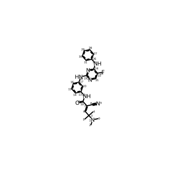 CN(C)C(C)(C)/C=C(\C#N)C(=O)Nc1cccc(Nc2ncc(F)c(Nc3ccccc3)n2)c1